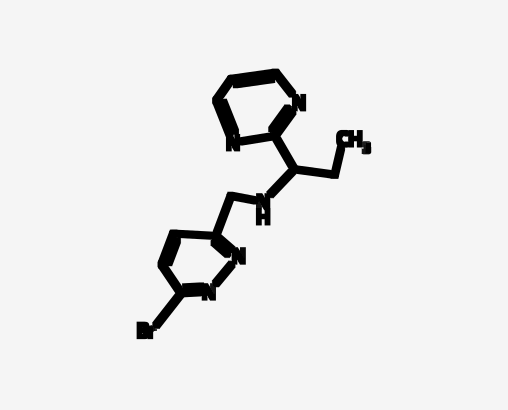 CCC(NCc1ccc(Br)nn1)c1ncccn1